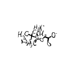 CC(C)(C)[Si](C)(C)OCC(=O)[O-].[K+]